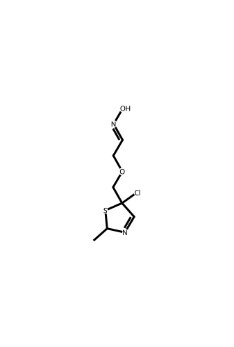 CC1N=CC(Cl)(COCC=NO)S1